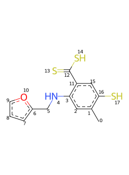 Cc1cc(NCc2ccco2)c(C(=S)S)cc1S